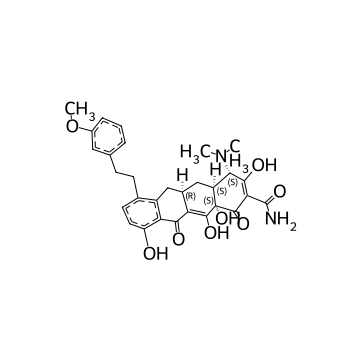 COc1cccc(CCc2ccc(O)c3c2C[C@H]2C[C@H]4[C@H](N(C)C)C(O)=C(C(N)=O)C(=O)[C@@]4(O)C(O)=C2C3=O)c1